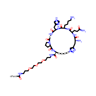 CCCCCC(=O)NCCCOCCOCCOCCCNC(=O)[C@@H]1CCCCn2cc(nn2)C[C@H](N)C(=O)NC(CCC(N)=O)C(=O)NC(CCCCN)C(=O)NC(Cc2c[nH]cn2)C(=O)NCC(=O)N2CCCC2C(=O)N1